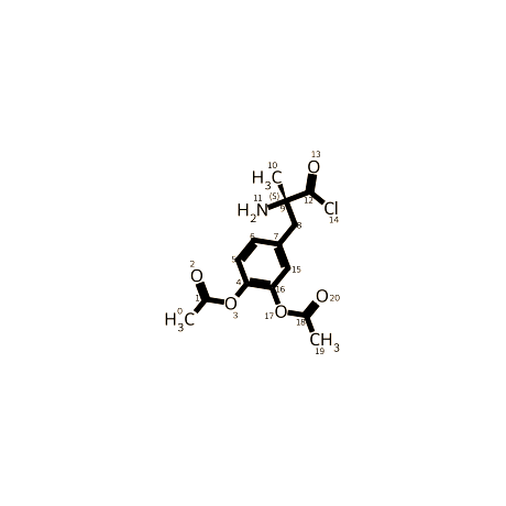 CC(=O)Oc1ccc(C[C@](C)(N)C(=O)Cl)cc1OC(C)=O